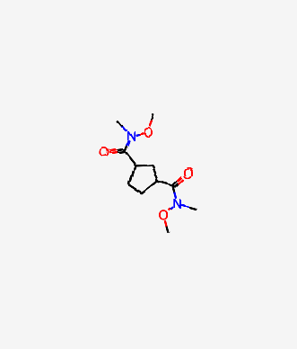 CON(C)C(=O)C1CCC(C(=O)N(C)OC)C1